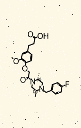 COc1cc(CCC(=O)O)ccc1OCC(=O)N1C[C@H](C)N(Cc2ccc(F)cc2)C[C@H]1C